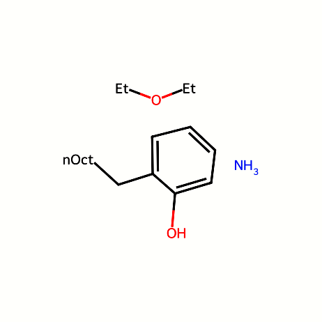 CCCCCCCCCc1ccccc1O.CCOCC.N